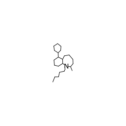 CCCCCN1C(C)CCCCC2C(C3CCCCC3)CCCC21